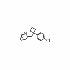 Clc1ccc(C2(CC3CO[C]=N3)CCC2)cc1